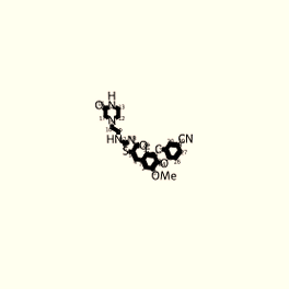 COc1cc(C=C2SC(NCCN3CCNC(=O)C3)=NC2=O)ccc1Oc1ccc(C#N)cc1C(F)(F)F